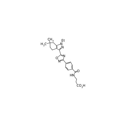 CCn1nc(-c2nc(-c3ccc(C(=O)NCCC(=O)O)cc3)no2)c2c1CC(C)(C)CC2